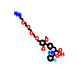 COc1cc(COCCOCCOCCOCCN=[N+]=[N-])cc(OC)c1-c1ccc(CC(NC(=O)c2c(F)cccc2F)C(=O)O)cc1